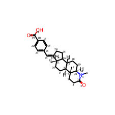 CN1C(=O)CC[C@]2(C)[C@H]3CC[C@]4(C)/C(=C/c5ccc(C(=O)O)cc5)CC[C@H]4[C@@H]3CC[C@@H]12